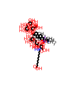 CC1O[C@@H](OC2C(O)[C@@H](NC(=O)CCCCCCCCCCC(=O)O)C(CO)O[C@H]2OC(=O)N[C@]2(CCC(C)(C)C)C(I)C3=CCC4C5(C)CC[C@H](O[C@@H]6OC(C(=O)O)[C@@H](O)C(O[C@@H]7OC[C@@H](O)C(O)C7O)C6O[C@@H]6OC(CO)[C@H](O)C(O)C6O)C(C)(C=O)C5CCC4(C)C3(C)C[C@@H]2O)C(CO)C(O)[C@H]1O[C@@H]1OC[C@@H](O)C(O)C1O